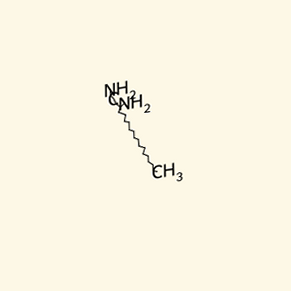 CCCCCCCCCCCCCCCCC(N)CCCN